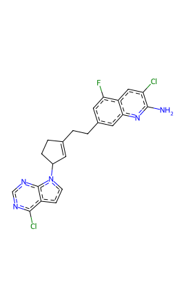 Nc1nc2cc(CCC3=CC(n4ccc5c(Cl)ncnc54)CC3)cc(F)c2cc1Cl